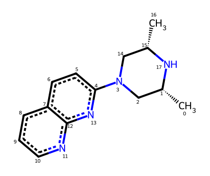 C[C@@H]1CN(c2ccc3cccnc3n2)C[C@H](C)N1